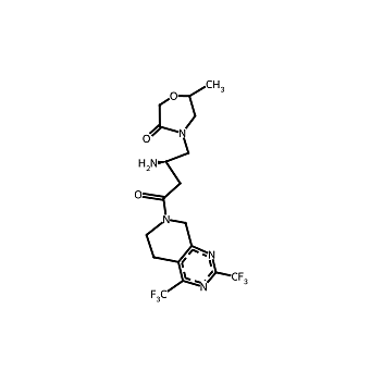 CC1CN(C[C@H](N)CC(=O)N2CCc3c(nc(C(F)(F)F)nc3C(F)(F)F)C2)C(=O)CO1